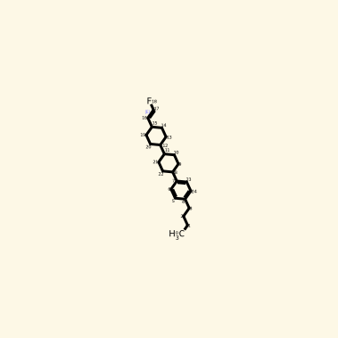 CCCCc1ccc(C2CCC(C3CCC(/C=C/F)CC3)CC2)cc1